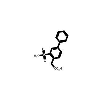 CS(=O)(=O)c1cc(-c2ccccc2)ccc1CC(=O)O